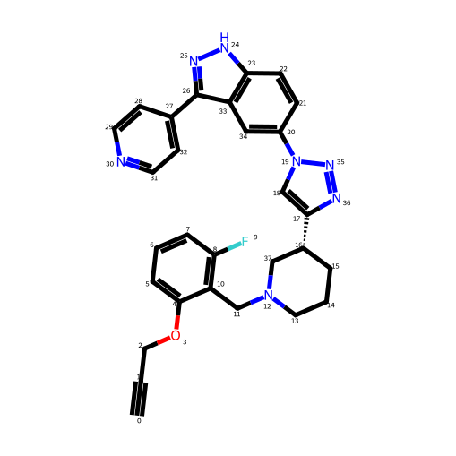 C#CCOc1cccc(F)c1CN1CCC[C@@H](c2cn(-c3ccc4[nH]nc(-c5ccncc5)c4c3)nn2)C1